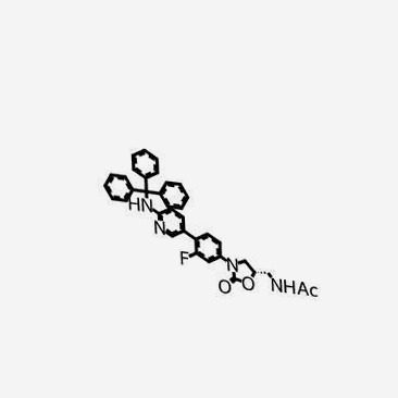 CC(=O)NC[C@H]1CN(c2ccc(-c3ccc(NC(c4ccccc4)(c4ccccc4)c4ccccc4)nc3)c(F)c2)C(=O)O1